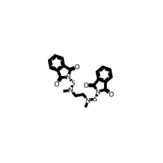 CN(CCN(C)SN1C(=O)c2ccccc2C1=O)SN1C(=O)c2ccccc2C1=O